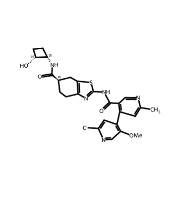 COc1cnc(Cl)cc1-c1cc(C)ncc1C(=O)Nc1nc2c(s1)C[C@H](C(=O)N[C@H]1CC[C@H]1O)CC2